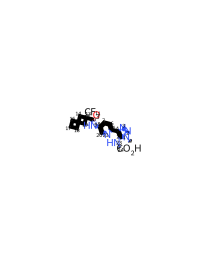 Cn1nnc(-c2ccc(NC(=O)C3(C(F)(F)F)CC4(CCC4)C3)cn2)c1NC(=O)O